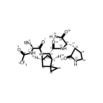 CC(C)(C)[C@H](NC(=O)C(F)(F)F)C(=O)N1[C@H]2C[C@@H]([C@H]1C(=O)N[C@@H](C[C@@H]1CCNC1=O)C(N)=O)C1(CC1)C2